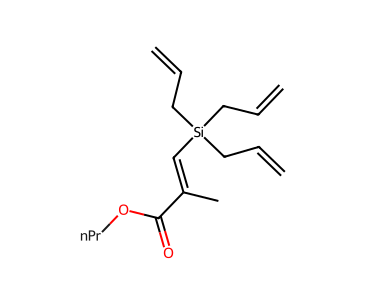 C=CC[Si](C=C(C)C(=O)OCCC)(CC=C)CC=C